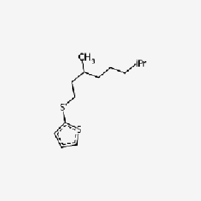 CC(C)CCCC(C)CCSc1cccs1